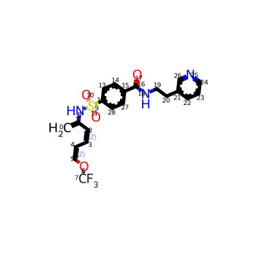 C=C(/C=C\C=C/OC(F)(F)F)NS(=O)(=O)c1ccc(C(=O)NCCc2cccnc2)cc1